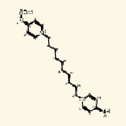 CCCCCCCCN=c1ccn(CCCCCCCCCCn2ccc(=N)cc2)cc1